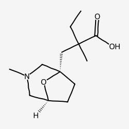 CCC(C)(C[C@@]12CC[C@@H](CN(C)C1)O2)C(=O)O